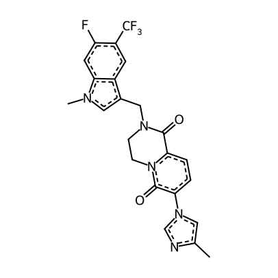 Cc1cn(-c2ccc3n(c2=O)CCN(Cc2cn(C)c4cc(F)c(C(F)(F)F)cc24)C3=O)cn1